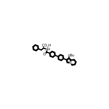 CCCCc1c(-c2ccc(-c3ccc(C(=O)N[C@@H](Cc4ccccc4)C(=O)O)cc3)cc2)cn2ccccc12